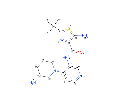 CC(C)(C)c1nc(C(=O)Nc2cnccc2N2CCCC(N)C2)c(N)s1